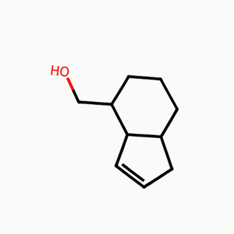 OCC1CCCC2CC=CC12